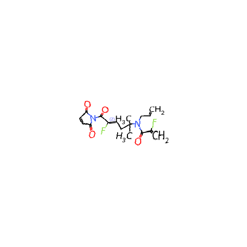 C=CCN(C(=O)C(=C)F)C(C)(C)C/C=C(\F)C(=O)N1C(=O)C=CC1=O